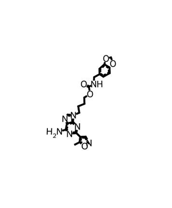 Cc1oncc1-c1nc(N)c2ncn(CCCCOC(=O)NCc3ccc4c(c3)OCO4)c2n1